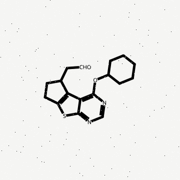 O=CCC1CCc2sc3ncnc(OC4CCCCC4)c3c21